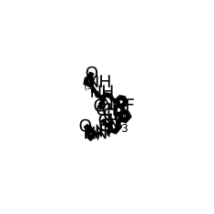 COc1nc(-c2cccc(-c3c(F)ccc(-c4ccc(CNC[C@@H]5CCC(=O)N5)c(OC)n4)c3Cl)c2Cl)ccc1CNC[C@@H]1CCC(=O)N1